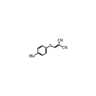 CC(C)(C)c1ccc(SC=C(C#N)C#N)cc1